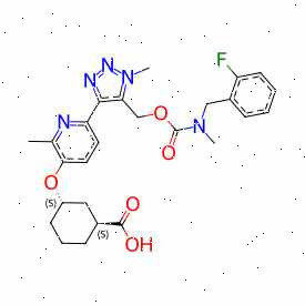 Cc1nc(-c2nnn(C)c2COC(=O)N(C)Cc2ccccc2F)ccc1O[C@H]1CCC[C@H](C(=O)O)C1